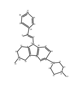 C/C(=C\n1c2c(c3cc(N4CCN(C)CC4)ccc31)CN(C)CC2)c1ccncc1